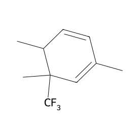 CC1=CC(C)(C(F)(F)F)C(C)C=C1